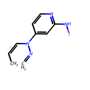 C=NN(/C=C\C)c1ccnc(NI)c1